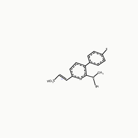 CC(C)N(C)c1nc(/C=C/S(=O)(=O)O)ccc1-c1ccc(F)cc1